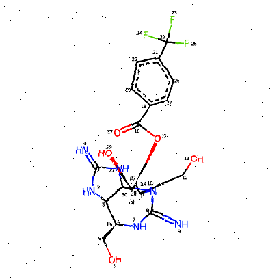 N=C1NC2[C@H](CO)NC(=N)N3C(CO)[C@H](OC(=O)c4ccc(C(F)(F)F)cc4)[C@@H](O)C23N1